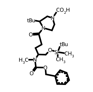 CN(C(=O)OCc1ccccc1)C(CCC(=O)N1CCN(C(=O)O)CC1C(C)(C)C)CO[Si](C)(C)C(C)(C)C